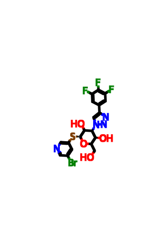 OCC1O[C@H](Sc2cncc(Br)c2)C(O)[C@@H](n2cc(-c3cc(F)c(F)c(F)c3)nn2)[C@H]1O